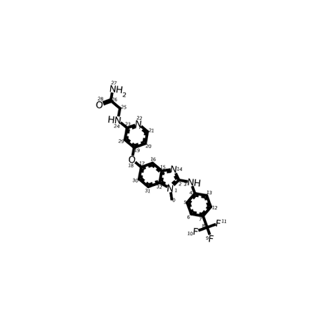 Cn1c(Nc2ccc(C(F)(F)F)cc2)nc2cc(Oc3ccnc(NCC(N)=O)c3)ccc21